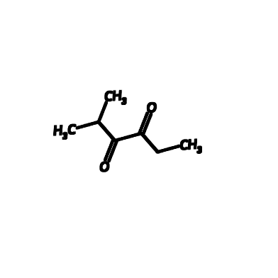 CCC(=O)C(=O)C(C)C